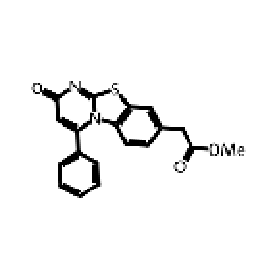 COC(=O)Cc1ccc2c(c1)sc1nc(=O)cc(-c3ccccc3)n12